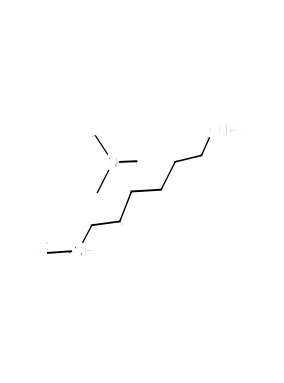 CCCCCCCCCCCCCNBr.CN(C)C